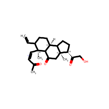 C=CC1CC[C@@H]2C(C(=O)C[C@@]3(C)C2CC[C@@H]3C(=O)CO)[C@@]1(C)/C=C\C(C)=O